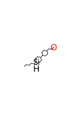 CCCCC[SiH]1CCC(C2CCC(CC=O)CC2)CC1